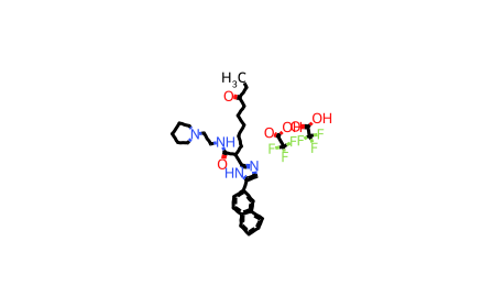 CCC(=O)CCCCCC(C(=O)NCCN1CCCCC1)c1ncc(-c2ccc3ccccc3c2)[nH]1.O=C(O)C(F)(F)F.O=C(O)C(F)(F)F